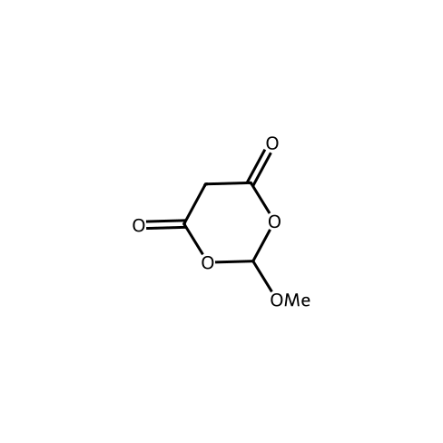 COC1OC(=O)CC(=O)O1